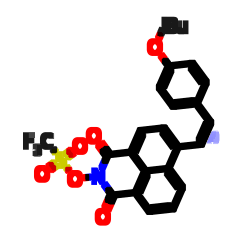 CCC(C)Oc1ccc(/C=C\c2ccc3c4c(cccc24)C(=O)N(OS(=O)(=O)C(F)(F)F)C3=O)cc1